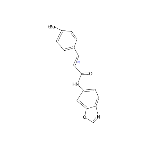 CC(C)(C)c1ccc(/C=C/C(=O)Nc2ccc3ncoc3c2)cc1